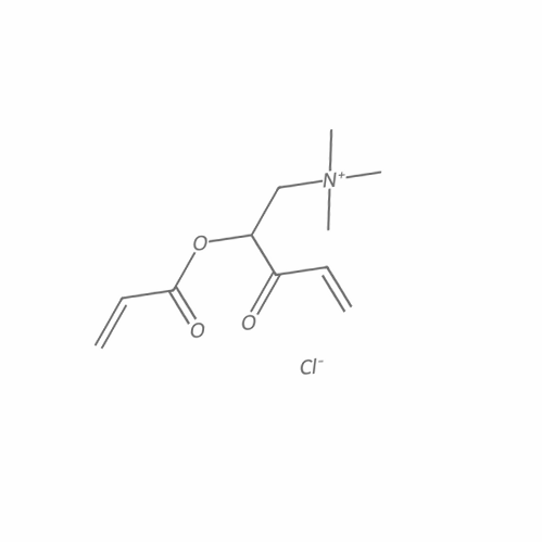 C=CC(=O)OC(C[N+](C)(C)C)C(=O)C=C.[Cl-]